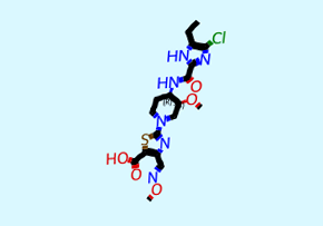 CCc1[nH]c(C(=O)N[C@@H]2CCN(c3nc(C=NOC)c(C(=O)O)s3)C[C@@H]2OC)nc1Cl